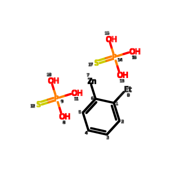 CCc1cccc[c]1[Zn].OP(O)(O)=S.OP(O)(O)=S